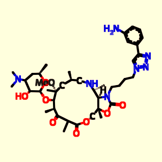 CO[C@]1(C)C[C@@H](C)CN[C@H](C)[C@H]2N(CCCCn3cc(-c4cccc(N)c4)nn3)C(=O)O[C@]2(C)COC(=O)C(C)C(=O)[C@@H](C)[C@H]1O[C@@H]1O[C@H](C)CC(N(C)C)C1O